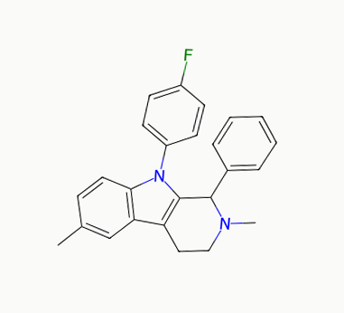 Cc1ccc2c(c1)c1c(n2-c2ccc(F)cc2)C(c2ccccc2)N(C)CC1